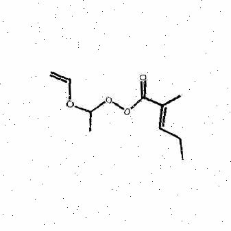 C=COC(C)OOC(=O)C(C)=CCC